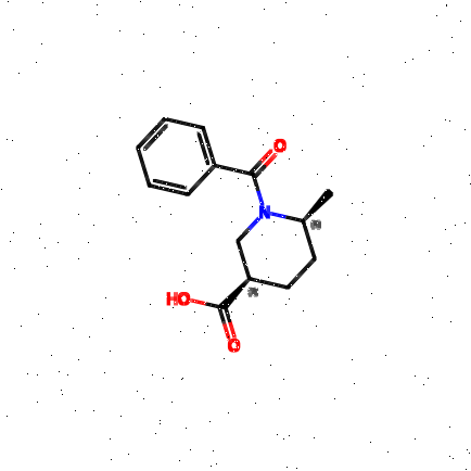 C[C@H]1CC[C@@H](C(=O)O)CN1C(=O)c1ccccc1